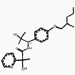 CCCC(C)COc1ccc([C@@H](NC(=O)C(C)(O)c2ccccn2)C(C)(C)O)cc1